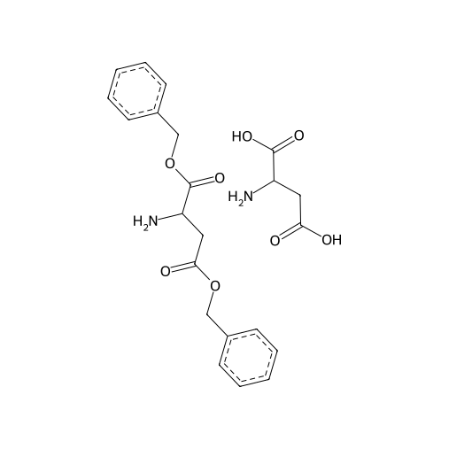 NC(CC(=O)O)C(=O)O.NC(CC(=O)OCc1ccccc1)C(=O)OCc1ccccc1